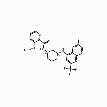 COc1ccccc1C(=O)N[C@@H]1CCC[C@H](Nc2cc(C(F)(F)F)nc3ccc(F)cc23)C1